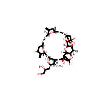 C=C1C[C@@H]2CC[C@@]34C[C@H]5OC6[C@@H](O[C@H]7CC[C@H](CC(=O)C[C@@H]8[C@@H](OC)[C@@H](C[C@H](O)CO)O[C@H]8C[C@H]8O[C@@H](CC[C@@H]1O2)C[C@@H](C)C8=C)O[C@@H]7[C@@H]6O3)[C@H]5O4